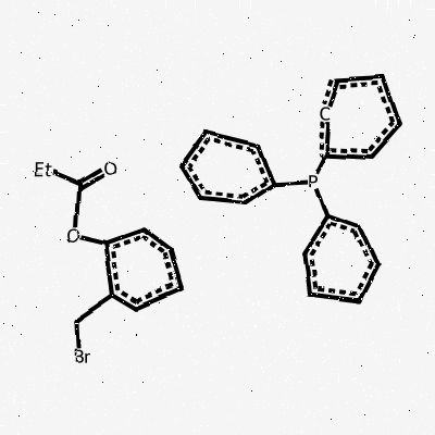 CCC(=O)Oc1ccccc1CBr.c1ccc(P(c2ccccc2)c2ccccc2)cc1